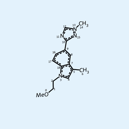 COCCn1cc(C)c2cc(-c3ncn(C)n3)ccc21